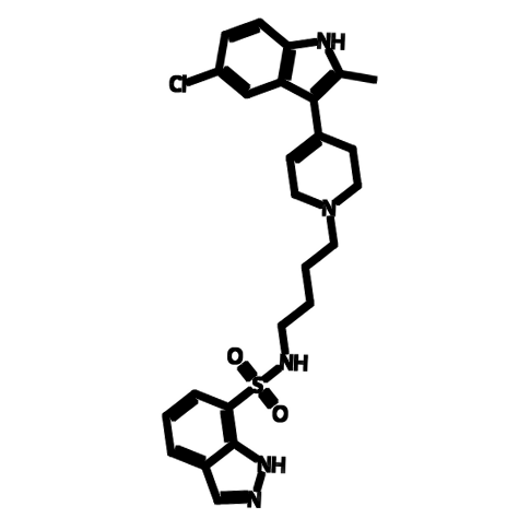 Cc1[nH]c2ccc(Cl)cc2c1C1=CCN(CCCCNS(=O)(=O)c2cccc3cn[nH]c23)CC1